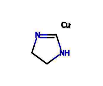 C1=NCCN1.[Cu]